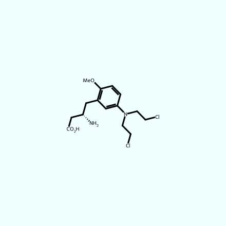 COc1ccc(N(CCCl)CCCl)cc1C[C@H](N)CC(=O)O